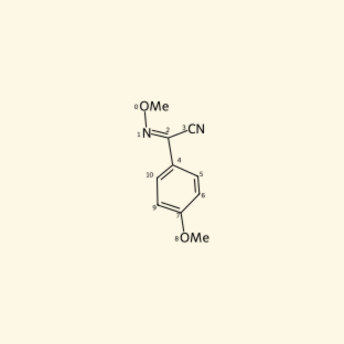 CON=C(C#N)c1ccc(OC)cc1